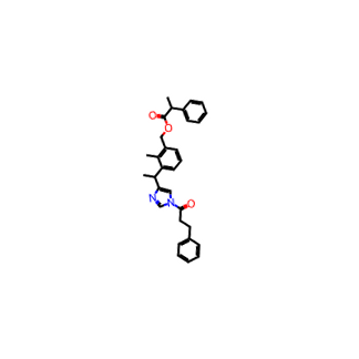 Cc1c(COC(=O)C(C)c2ccccc2)cccc1C(C)c1cn(C(=O)CCc2ccccc2)cn1